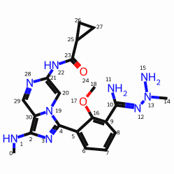 CNc1nc(-c2cccc(/C(N)=N/N(C)N)c2OC)n2cc(NC(=O)C3CC3)ncc12